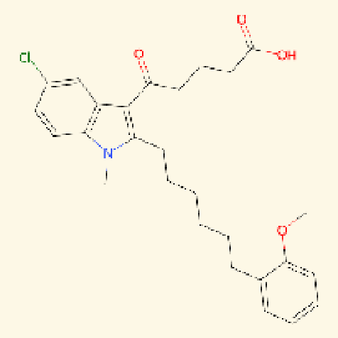 COc1ccccc1CCCCCCc1c(C(=O)CCCC(=O)O)c2cc(Cl)ccc2n1C